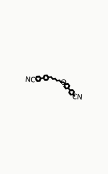 N#Cc1ccc(-c2ccc(CCCCCCOc3ccc(-c4ccc(C#N)cc4)cc3)cc2)cc1